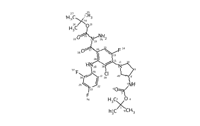 CC(C)(C)OC(=O)NC1CCN(c2c(F)cc(C(=O)N(N)C(=O)OC(C)(C)C)c(Nc3ccc(F)cc3F)c2Cl)C1